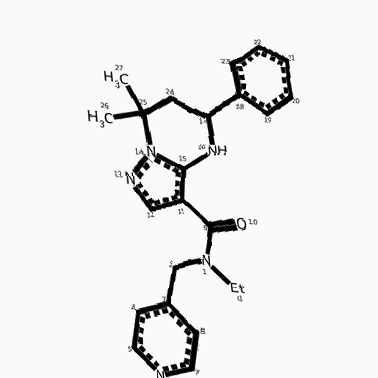 CCN(Cc1ccncc1)C(=O)c1cnn2c1NC(c1ccccc1)CC2(C)C